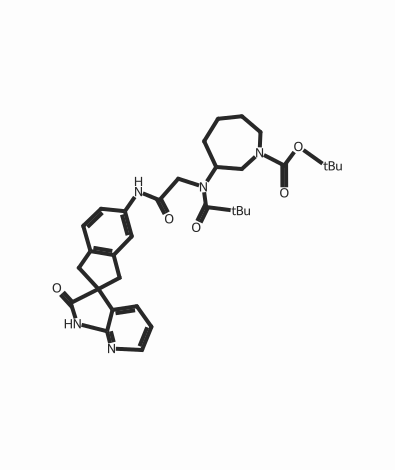 CC(C)(C)OC(=O)N1CCCCC(N(CC(=O)Nc2ccc3c(c2)CC2(C3)C(=O)Nc3ncccc32)C(=O)C(C)(C)C)C1